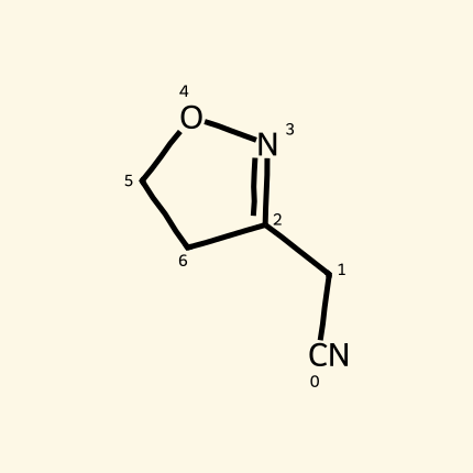 N#CCC1=NOCC1